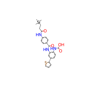 C[Si](C)(C)CCC(=O)Nc1ccc(C(=O)Nc2cc(-c3cccs3)ccc2NC(=O)O)cc1